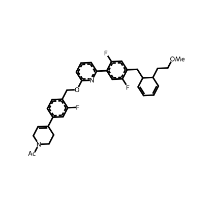 COCCC1C=CC=CC1Cc1cc(F)c(-c2cccc(OCc3ccc(C4=CCN(C(C)=O)CC4)cc3F)n2)cc1F